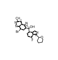 Cc1cc2c(N)c(C(O)c3ccc(F)c4c3cnn4C3CCCCO3)cc(Br)c2nn1